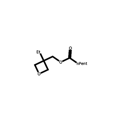 CCCCCC(=O)OCC1(CC)COC1